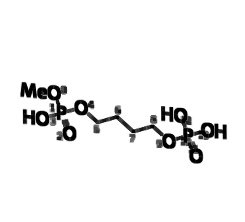 COP(=O)(O)OCCCCOP(=O)(O)O